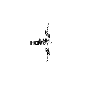 CCCCCCCCN=c1ccn(CCCCCCCCCCn2ccc(=NCCCCCCCC)cc2)cc1.Cl.Cl.Nc1ccccn1.Nc1ccccn1